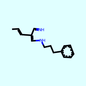 C/C=C/C(C=N)=C/NCCCc1ccccc1